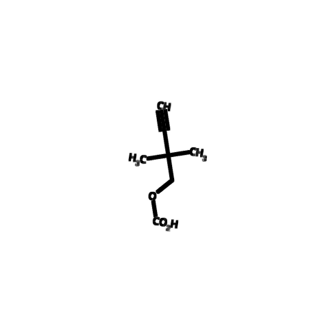 C#CC(C)(C)COC(=O)O